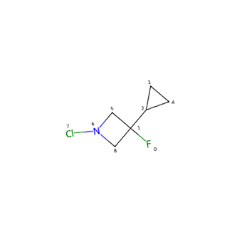 FC1(C2CC2)CN(Cl)C1